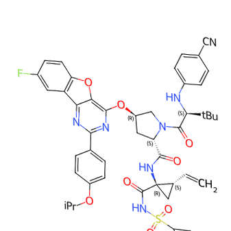 C=C[C@@H]1C[C@]1(NC(=O)[C@@H]1C[C@@H](Oc2nc(-c3ccc(OC(C)C)cc3)nc3c2oc2ccc(F)cc23)CN1C(=O)[C@@H](Nc1ccc(C#N)cc1)C(C)(C)C)C(=O)NS(=O)(=O)C1CC1